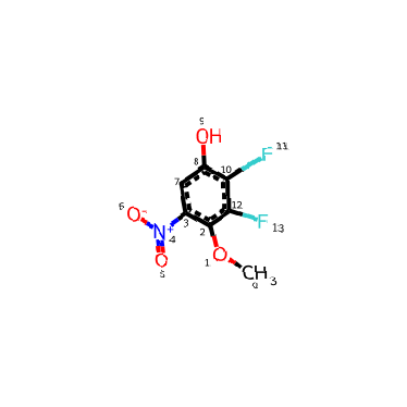 COc1c([N+](=O)[O-])cc(O)c(F)c1F